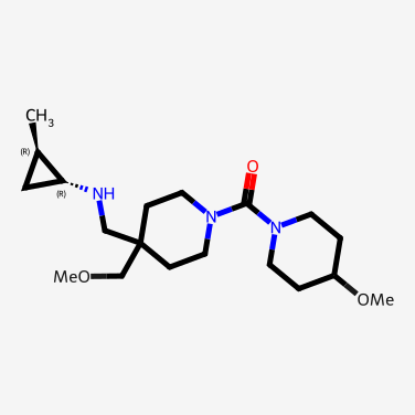 COCC1(CN[C@@H]2C[C@H]2C)CCN(C(=O)N2CCC(OC)CC2)CC1